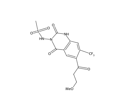 COCCC(=O)c1cc2c(=O)n(NS(C)(=O)=O)c(=O)[nH]c2cc1C(F)(F)F